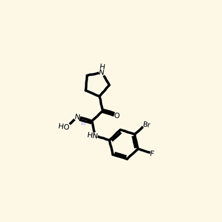 O=C(/C(=N/O)Nc1ccc(F)c(Br)c1)C1CCNC1